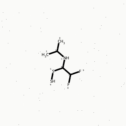 CC(C)NC(SS)C(F)F